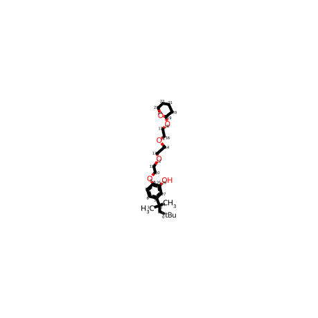 CC(C)(C)CC(C)(C)c1ccc(OCCOCCOCCOC2CCCCO2)c(O)c1